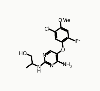 COc1cc(C(C)C)c(Oc2cnc(NC(C)CO)nc2N)cc1Cl